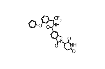 O=C1CCC(N2Cc3cc(C(=O)NC(c4cccc(Oc5ccccc5)c4)C(F)(F)F)ccc3C2=O)C(=O)N1